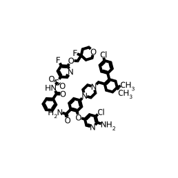 CC1(C)CCC(CN2CCN(c3ccc(C(N)=O)c(Oc4cnc(N)c(Cl)c4)c3)CC2)=C(c2ccc(Cl)cc2)C1.O=C(NS(=O)(=O)c1cnc(OCC2(F)CCOCC2)c(F)c1)c1ccccc1